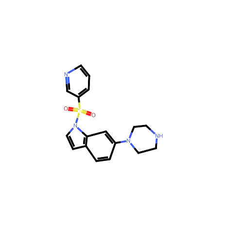 O=S(=O)(c1cccnc1)n1ccc2ccc(N3CCNCC3)cc21